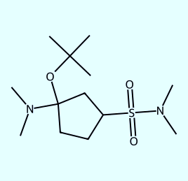 CN(C)C1(OC(C)(C)C)CCC(S(=O)(=O)N(C)C)C1